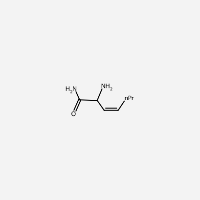 CCC/C=C\C(N)C(N)=O